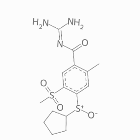 Cc1cc([S+]([O-])C2CCCC2)c(S(C)(=O)=O)cc1C(=O)N=C(N)N